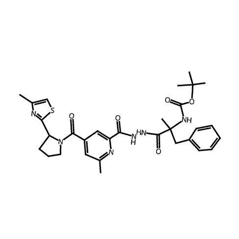 Cc1cc(C(=O)N2CCCC2c2nc(C)cs2)cc(C(=O)NNC(=O)C(C)(Cc2ccccc2)NC(=O)OC(C)(C)C)n1